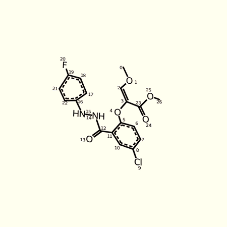 COC=C(Oc1ccc(Cl)cc1C(=O)NNc1ccc(F)cc1)C(=O)OC